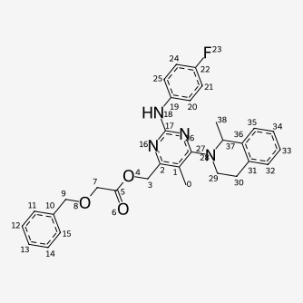 Cc1c(COC(=O)COCc2ccccc2)nc(Nc2ccc(F)cc2)nc1N1CCc2ccccc2C1C